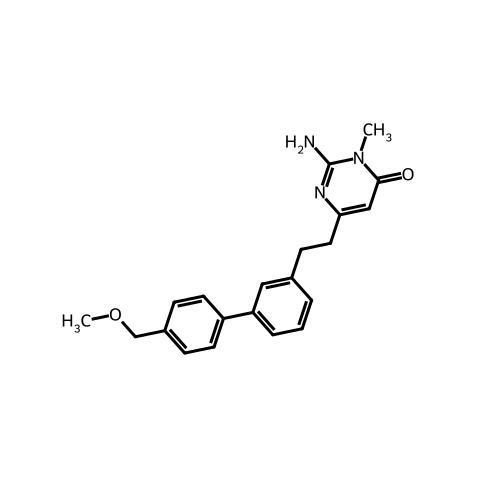 COCc1ccc(-c2cccc(CCc3cc(=O)n(C)c(N)n3)c2)cc1